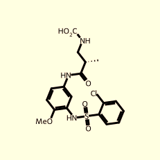 COc1ccc(NC(=O)[C@@H](C)CNC(=O)O)cc1NS(=O)(=O)c1ccccc1Cl